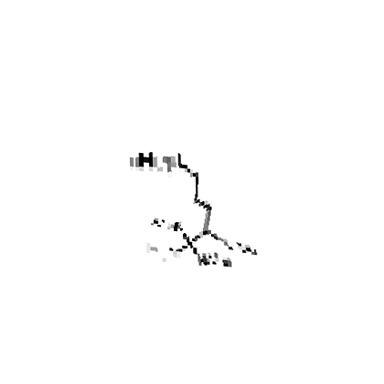 CCCCCCCCCCC(NC)C(N)(NC)NC